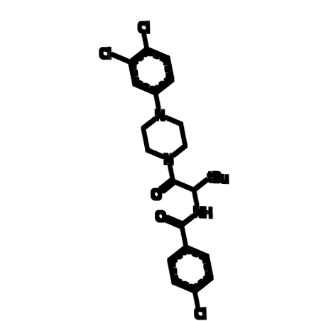 CC(C)(C)C(NC(=O)c1ccc(Cl)cc1)C(=O)N1CCN(c2ccc(Cl)c(Cl)c2)CC1